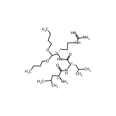 CCCCOC(OCCCC)[C@H](CCCNC(=N)N)NC(=O)[C@H](CC(C)C)NC(=O)[C@@H](N)CC(C)C